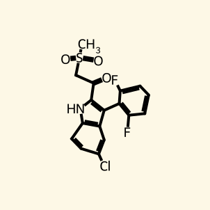 CS(=O)(=O)CC(=O)c1[nH]c2ccc(Cl)cc2c1-c1c(F)cccc1F